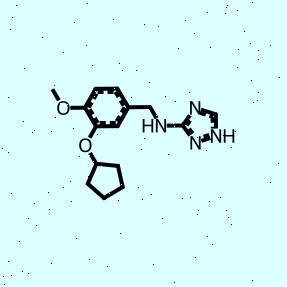 COc1ccc(CNc2nc[nH]n2)cc1OC1CCCC1